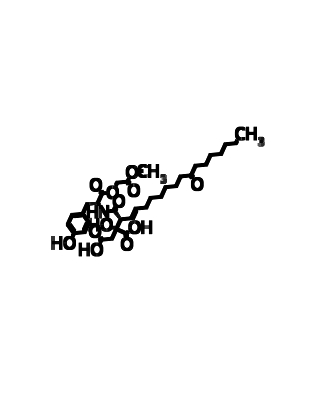 CCCCCCCC(=O)CCCCCC/C=C/[C@H](C(=O)N[C@@H](Cc1ccc(O)cc1)C(=O)OCC(=O)OC)[C@@](O)(CC(=O)O)C(=O)O